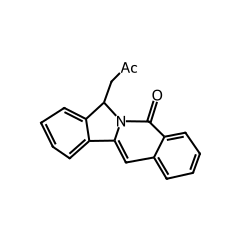 CC(=O)CC1c2ccccc2-c2cc3ccccc3c(=O)n21